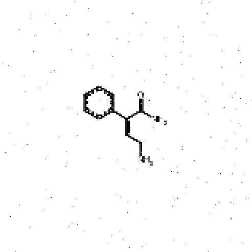 NCC=C(C(N)=O)c1ccccc1